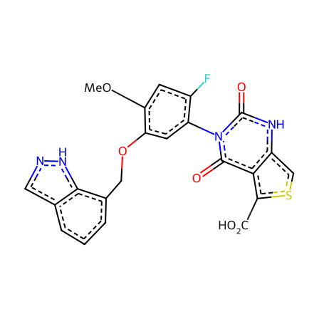 COc1cc(F)c(-n2c(=O)[nH]c3csc(C(=O)O)c3c2=O)cc1OCc1cccc2cn[nH]c12